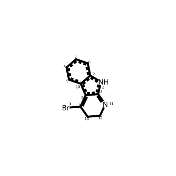 BrC1=c2c([nH]c3ccccc23)=NCC1